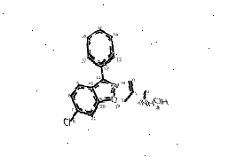 C=CC.CN.Cl.Clc1ccc2c(-c3ccccc3)noc2c1